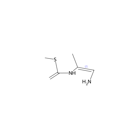 C=C(N/C(C)=C\N)SC